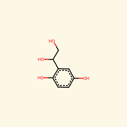 OCC(O)c1cc(O)ccc1O